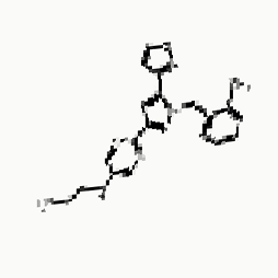 Cc1ccccc1Cn1nc(-c2ncc(NCCN)cn2)cc1-c1ccon1